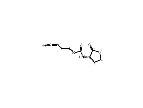 [N-]=[N+]=NCCOC(=O)NC1CCOC1=O